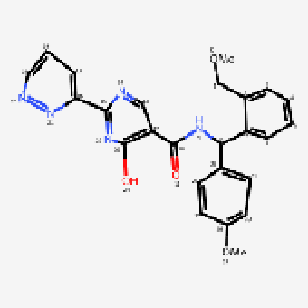 COCc1ccccc1C(NC(=O)c1cnc(-c2cccnn2)nc1O)c1ccc(OC)cc1